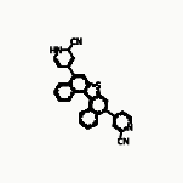 N#Cc1cc(-c2cc3sc4cc(C5=CC(C#N)NC=C5)c5ccccc5c4c3c3ccccc23)ccn1